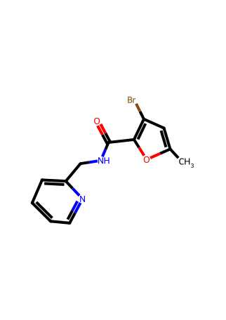 Cc1cc(Br)c(C(=O)NCc2ccccn2)o1